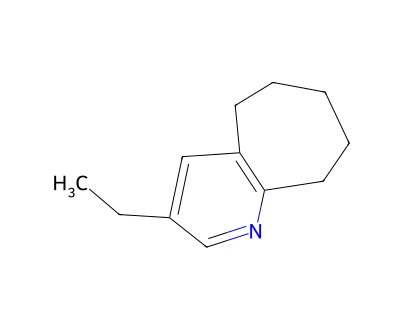 CCc1cnc2c(c1)CCCCC2